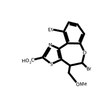 CCc1cccc2c1-c1nc(C(=O)O)sc1C(COC)C(Br)O2